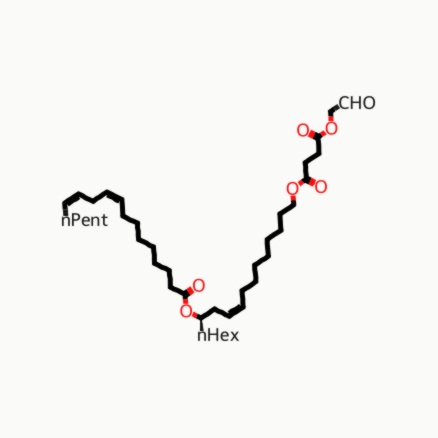 CCCCC/C=C\C/C=C\CCCCCCCC(=O)O[C@@H](C/C=C\CCCCCCCCOC(=O)CCC(=O)OCC=O)CCCCCC